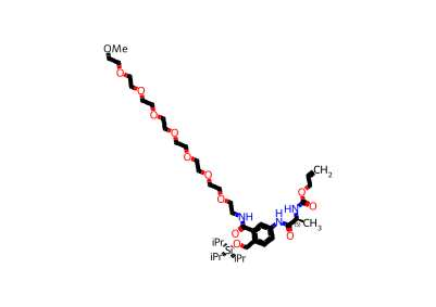 C=CCOC(=O)N[C@@H](C)C(=O)Nc1ccc(CO[Si](C(C)C)(C(C)C)C(C)C)c(C(=O)NCCOCCOCCOCCOCCOCCOCCOCCOC)c1